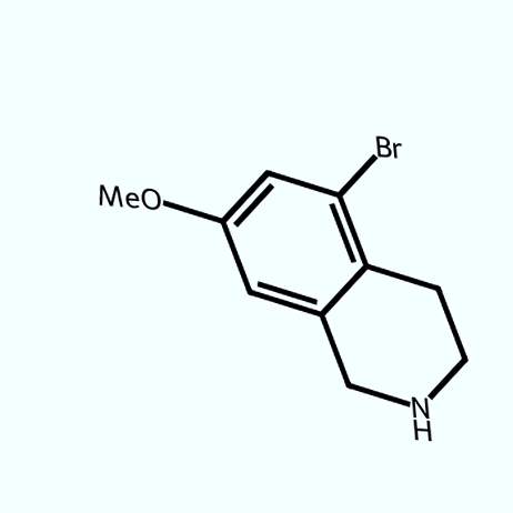 COc1cc(Br)c2c(c1)CNCC2